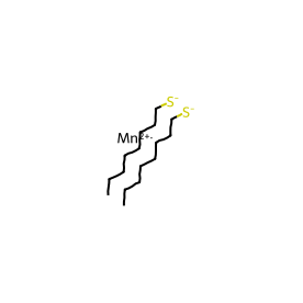 CCCCCCCC[S-].CCCCCCCC[S-].[Mn+2]